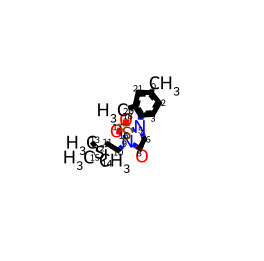 Cc1ccc(N2CC(=O)N(CC[Si](C)(C)C)S2(=O)=O)c(C)c1